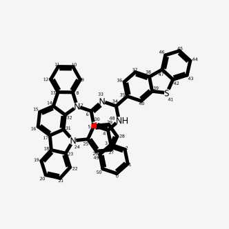 c1ccc(C2=NC(n3c4ccccc4c4ccc5c6ccccc6n(-c6ccccc6)c5c43)=NC(c3ccc4c(c3)sc3ccccc34)N2)cc1